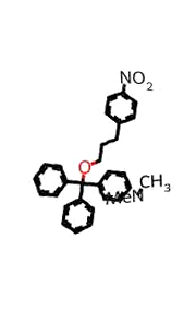 CNC.O=[N+]([O-])c1ccc(CCCOC(c2ccccc2)(c2ccccc2)c2ccccc2)cc1